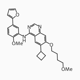 COCCCCOc1cc2ncnc(Nc3cc(-c4ccco4)ccc3OC)c2cc1C1CCC1